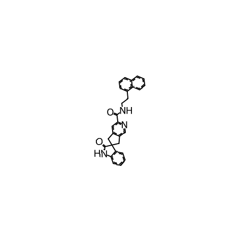 O=C(NCCc1cccc2ccccc12)c1cc2c(cn1)CC1(C2)C(=O)Nc2ccccc21